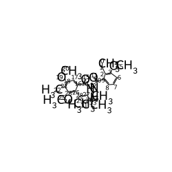 CCc1c(OC)cccc1C(=O)NN(C(=O)c1cc(OC)c(C)c(OC)c1)C(CC)C(C)(C)C